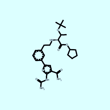 CC(OC(C)(C)C)[C@H](NCCc1cccc(-c2cc(C(N)=O)c(NC(N)=O)s2)c1)C(=O)OC1CCCC1